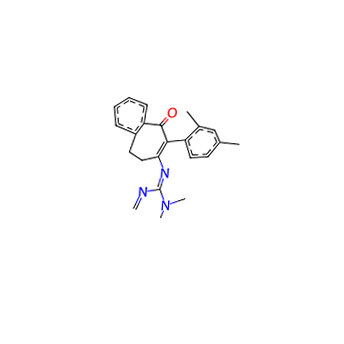 C=N/C(=N\C1=C(c2ccc(C)cc2C)C(=O)c2ccccc2CC1)N(C)C